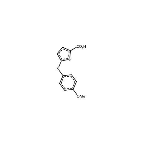 COc1ccc(Sc2ccc(C(=O)O)s2)cc1